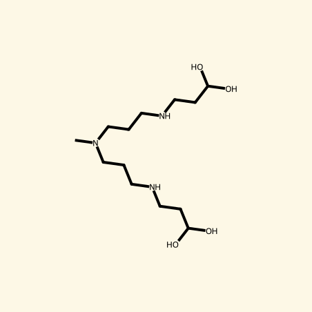 CN(CCCNCCC(O)O)CCCNCCC(O)O